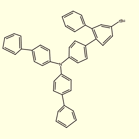 CC(C)(C)c1ccc(-c2ccc(N(c3ccc(-c4ccccc4)cc3)c3ccc(-c4ccccc4)cc3)cc2)c(-c2ccccc2)c1